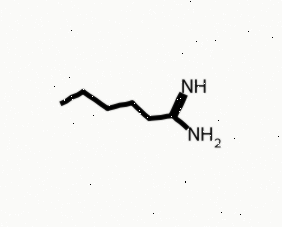 CCCCCC(=N)N